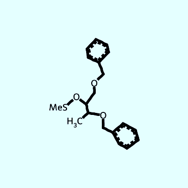 CSOC(COCc1ccccc1)C(C)OCc1ccccc1